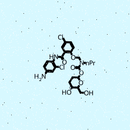 CCCN(COc1ccc(Cl)cc1C(=O)Nc1ccc(N)cc1Cl)C(=O)OC1CC[C@H](O)C(CO)O1